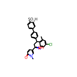 Cc1cc(Cl)ccc1C(C/C(=N\O)c1ccc(=O)n(C)c1)c1ccc(-c2ccc(S(=O)(=O)O)cc2)cc1